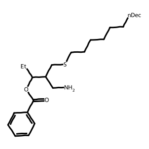 CCCCCCCCCCCCCCCCSCC(CN)C(CC)OC(=O)c1ccccc1